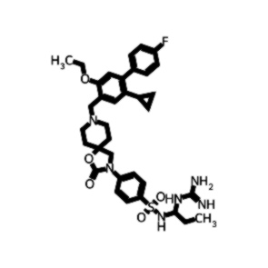 CCOc1cc(-c2ccc(F)cc2)c(C2CC2)cc1CN1CCC2(CC1)CN(c1ccc(S(=O)(=O)NC(CC)NC(=N)N)cc1)C(=O)O2